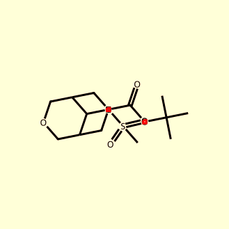 CC(C)(C)OC(=O)N1CC2COCC(C1)C2OS(C)(=O)=O